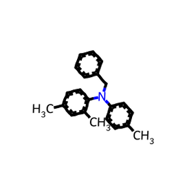 Cc1ccc(N(Cc2ccccc2)c2ccc(C)cc2C)cc1